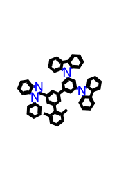 Cc1cccc(C)c1-c1cc(-c2cc(-n3c4ccccc4c4ccccc43)cc(-n3c4ccccc4c4ccccc43)c2)cc(-c2nc3ccccc3n2-c2ccccc2)c1